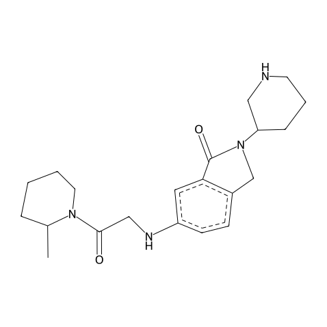 CC1CCCCN1C(=O)CNc1ccc2c(c1)C(=O)N(C1CCCNC1)C2